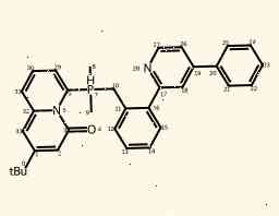 CC(C)(C)c1cc(=O)n2c([PH](C)(C)Cc3ccccc3-c3cc(-c4ccccc4)ccn3)cccc2c1